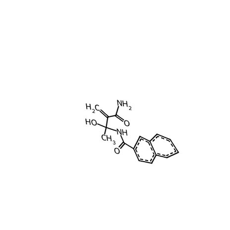 C=C(C(N)=O)C(C)(O)NC(=O)c1ccc2ccccc2c1